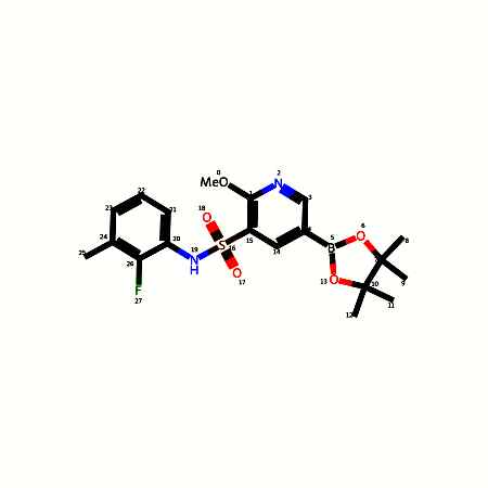 COc1ncc(B2OC(C)(C)C(C)(C)O2)cc1S(=O)(=O)Nc1cccc(C)c1F